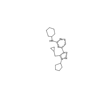 c1cc(-c2cnn(C3CCCC3)c2CC2CC2)nc(NC2CCCCC2)n1